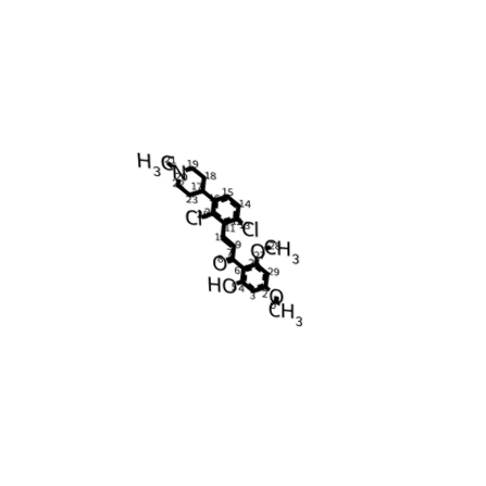 COc1cc(O)c(C(=O)/C=C/c2c(Cl)ccc(C3CCN(C)CC3)c2Cl)c(OC)c1